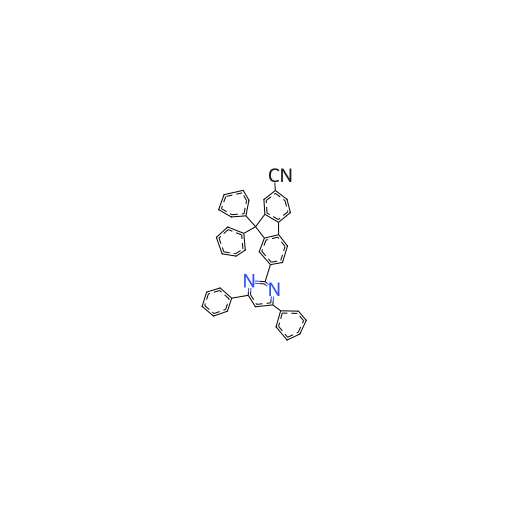 N#Cc1ccc2c(c1)C(c1ccccc1)(c1ccccc1)c1cc(-c3nc(-c4ccccc4)cc(-c4ccccc4)n3)ccc1-2